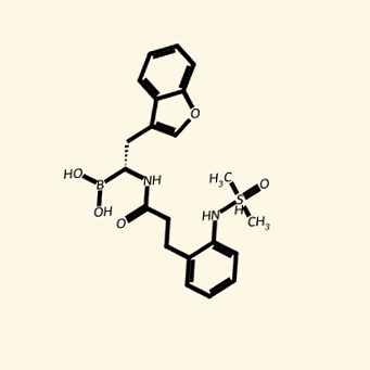 C[SH](C)(=O)Nc1ccccc1CCC(=O)N[C@@H](Cc1coc2ccccc12)B(O)O